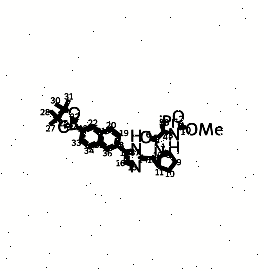 COC(=O)NC(C(=O)N1C2CCC(C2)C1c1ncc(-c2ccc3cc(B4OC(C)(C)C(C)(C)O4)ccc3c2)[nH]1)C(C)C